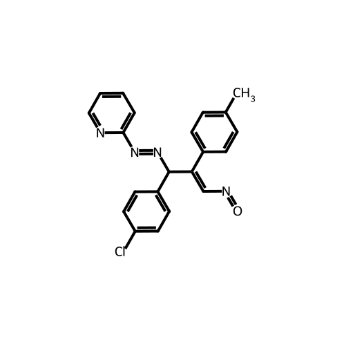 Cc1ccc(/C(=C\N=O)C(/N=N/c2ccccn2)c2ccc(Cl)cc2)cc1